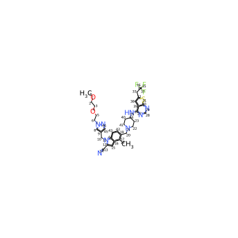 COCCOCCn1cc(Cn2c(C#N)cc3c(C)c(CN4CCC(Nc5ncnc6sc(CC(F)(F)F)cc56)CC4)ccc32)cn1